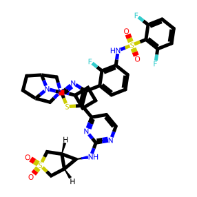 O=S1(=O)C[C@@H]2[C@H](C1)[C@H]2Nc1nccc(-c2sc(N3C4CCC3CN(C3CCC3)C4)nc2-c2cccc(NS(=O)(=O)c3c(F)cccc3F)c2F)n1